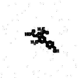 CC(=O)c1cn(CC(=O)O)c2c(C)cc(-c3cnc(CO)nc3)cc12